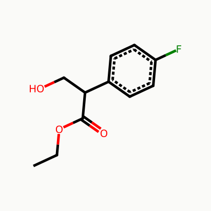 CCOC(=O)C(CO)c1ccc(F)cc1